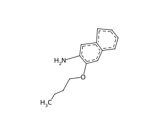 CCCCOc1cc2ccccc2cc1N